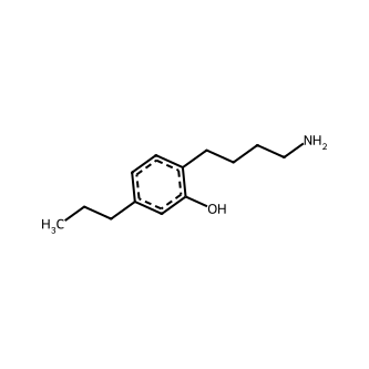 CCCc1ccc(CCCCN)c(O)c1